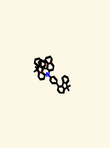 CC1(C)c2ccccc2-c2c(-c3ccc(N(c4ccccc4-c4cccc5cccc(-c6ccccc6)c45)c4cccc5c4-c4ccccc4C5(C)C)cc3)cccc21